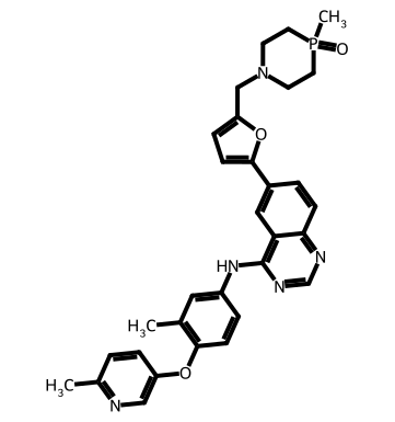 Cc1ccc(Oc2ccc(Nc3ncnc4ccc(-c5ccc(CN6CCP(C)(=O)CC6)o5)cc34)cc2C)cn1